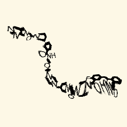 O=C(NCCOCCN1CCN(CC2CCN(CC(=O)N3CCN(C(=O)c4cc(Cc5n[nH]c(=O)c6ccccc56)ccc4F)CC3)CC2)CC1)c1cccc([C@H]2CCCN(C(=O)CN3Cc4cncnc4C3)C2)c1